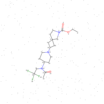 CCOC(=O)N1CCC2(CC(N3CCC(N(CC(F)(F)F)C(C)=O)CC3)C2)C1